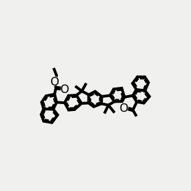 CCOC(=O)c1ccc2ccccc2c1-c1ccc2c(c1)C(C)(C)c1cc3c(cc1-2)C(C)(C)c1cc(-c2c(C(C)=O)ccc4ccccc24)ccc1-3